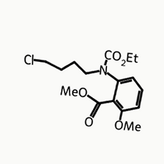 CCOC(=O)N(CCCCCl)c1cccc(OC)c1C(=O)OC